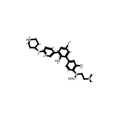 CN(C)CCN(C=O)c1ccc(-c2cc(F)cc(-c3ccc(OC4CCNCC4)nc3)c2O)cc1Cl